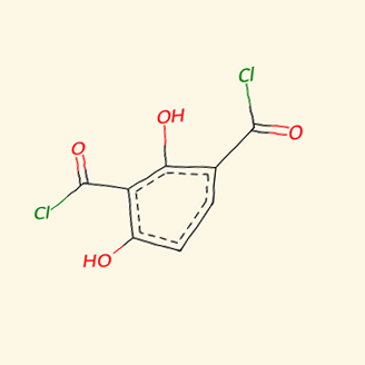 O=C(Cl)c1ccc(O)c(C(=O)Cl)c1O